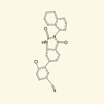 N#Cc1ccc(Cl)c(-c2ccc3c(=O)n(-c4cccc5ccccc45)c(=O)[nH]c3c2)c1